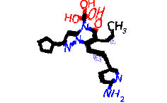 C/C=C\c1c(/C=C/c2ccc(N)nc2)n2nc(C3CCCC3)cc2n(C(O)(O)O)c1=O